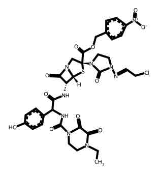 CCN1CCN(C(=O)NC(C(=O)N[C@@H]2C(=O)N3C[C@@](C(=O)OCc4ccc([N+](=O)[O-])cc4)(N4CCN(/N=C/CCl)C4=O)S[C@H]23)c2ccc(O)cc2)C(=O)C1=O